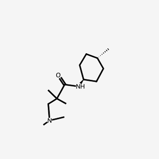 CN(C)CC(C)(C)C(=O)N[C@H]1CC[C@H](C)CC1